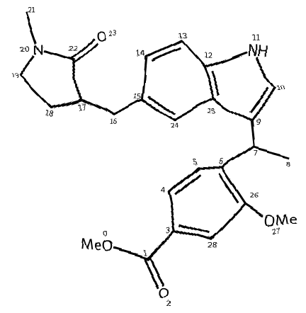 COC(=O)c1ccc(C(C)c2c[nH]c3ccc(CC4CCN(C)C4=O)cc23)c(OC)c1